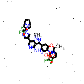 C[C@H](Oc1cc(-c2nn(C)c3c(-c4cnn(C5CC6CCC(C5)N6CC(F)(F)F)c4)cnc(N)c23)ccc1NS(=O)(=O)C(F)F)c1ccc(F)cc1